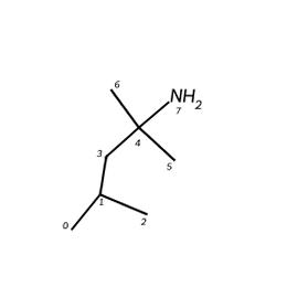 CC(C)CC(C)(C)N